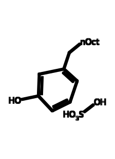 CCCCCCCCCc1cccc(O)c1.O=S(=O)(O)O